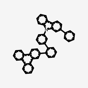 c1ccc(-c2ccc3c4ccccc4n(-c4cccc(-c5ccccc5-c5ccc6c7ccccc7c7ccccc7c6c5)c4)c3c2)cc1